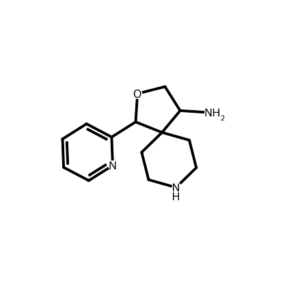 NC1COC(c2ccccn2)C12CCNCC2